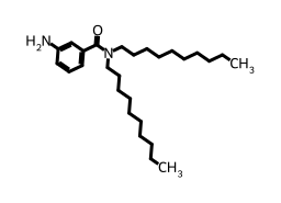 CCCCCCCCCCN(CCCCCCCCCC)C(=O)c1cccc(N)c1